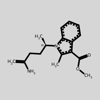 C=C(N)CC[C@@H](C)n1c(C)c(C(=O)OC)c2ccccc21